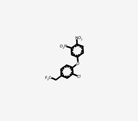 O=[N+]([O-])c1ccc(Oc2ccc(CC(F)(F)F)cc2Cl)cc1[N+](=O)[O-]